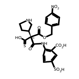 O=C(O)c1cc(S(=O)(=O)O)ccc1NC(=O)[C@@](C(=O)OCc1ccc([N+](=O)[O-])cc1)(C(O)=S)C1CCNC1